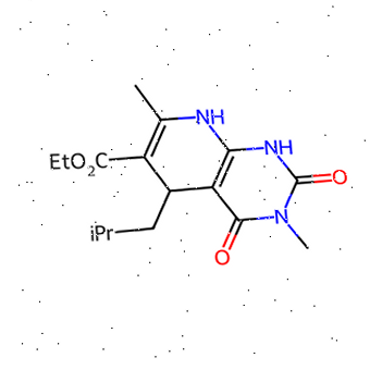 CCOC(=O)C1=C(C)Nc2[nH]c(=O)n(C)c(=O)c2C1CC(C)C